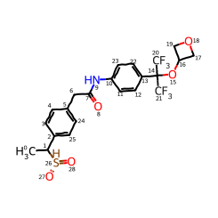 CC(c1ccc(CC(=O)Nc2ccc(C(OC3COC3)(C(F)(F)F)C(F)(F)F)cc2)cc1)[SH](=O)=O